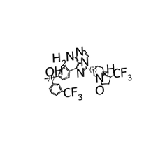 C[C@@](O)(c1ccc(-c2nc([C@@H]3CC[C@@H]4C(C(F)(F)F)CC(=O)N4C3)n3ccnc(N)c23)cc1)c1cccc(C(F)(F)F)c1